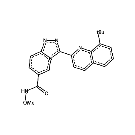 CONC(=O)c1ccc2nnc(-c3ccc4cccc(C(C)(C)C)c4n3)n2c1